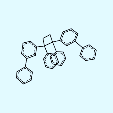 c1ccc(-c2cccc(C3(c4ccccc4)CCC3(c3ccccc3)c3cccc(-c4ccccc4)c3)c2)cc1